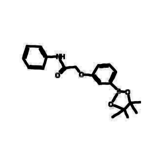 CC1(C)OB(c2cccc(OCC(=O)Nc3ccccc3)c2)OC1(C)C